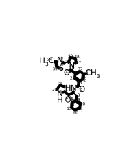 Cc1cc(C(=O)N[C@@H](Cc2ccccc2)[C@H](O)[C@H]2CCCN2)cc(C(=O)N2CCC[C@@H]2c2nc(C)cs2)c1